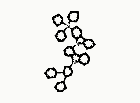 c1ccc(-c2ccc(-n3c4ccccc4c4c(-n5c6ccccc6c6ccc([Si](c7ccccc7)(c7ccccc7)c7ccccc7)cc65)cccc43)cc2-c2ccccc2)cc1